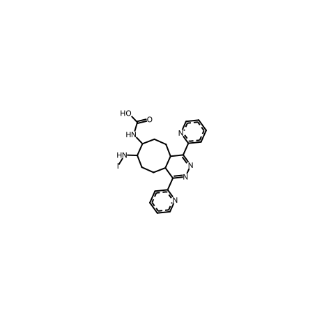 O=C(O)NC1CCC2C(c3ccccn3)=NN=C(c3ccccn3)C2CCC1NI